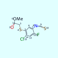 COC(=O)CSc1cc(N=C=S)c(F)cc1Cl